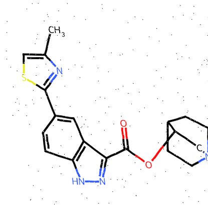 Cc1csc(-c2ccc3[nH]nc(C(=O)OC4CN5CCC4CC5)c3c2)n1